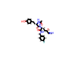 CC(=O)N[C@@H](CCc1ccc(O)cc1)C(=O)N[C@@H](CCC(=O)C=N)C(=O)NCc1ccc(F)cc1